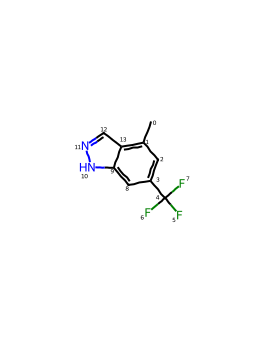 Cc1cc(C(F)(F)F)cc2[nH]ncc12